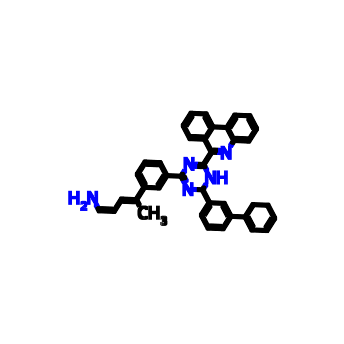 C/C(=C\C=C/N)c1cccc(C2=NC(c3cccc(C4=CC=CCC4)c3)NC(c3nc4ccccc4c4ccccc34)=N2)c1